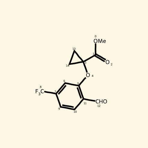 COC(=O)C1(Oc2cc(C(F)(F)F)ccc2C=O)CC1